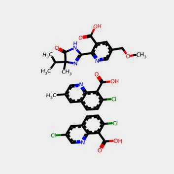 COCc1cnc(C2=NC(C)(C(C)C)C(=O)N2)c(C(=O)O)c1.Cc1cnc2c(C(=O)O)c(Cl)ccc2c1.O=C(O)c1c(Cl)ccc2cc(Cl)cnc12